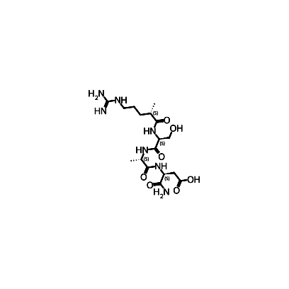 C[C@H](NC(=O)[C@H](CO)NC(=O)[C@@H](C)CCCNC(=N)N)C(=O)N[C@@H](CC(=O)O)C(N)=O